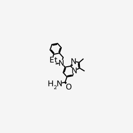 CCc1ccccc1CN(C)c1cc(C(N)=O)cn2c(C)c(C)nc12